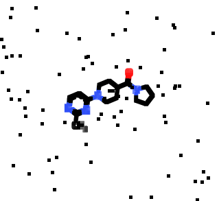 Cc1nccc(N2CCC(C(=O)N3CCCC3)CC2)n1